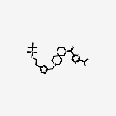 CC(C)c1nc(C(=O)N2CCOC3(CCN(Cc4csc(CCO[Si](C)(C)C(C)(C)C)c4)CC3)C2)cs1